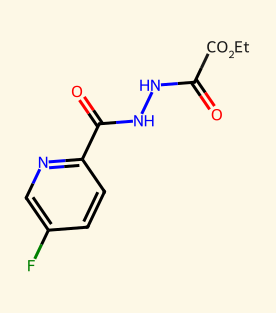 CCOC(=O)C(=O)NNC(=O)c1ccc(F)cn1